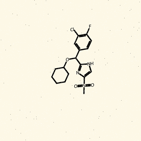 CS(=O)(=O)c1c[nH]c(C(OC2CCCCC2)c2ccc(F)c(Cl)c2)n1